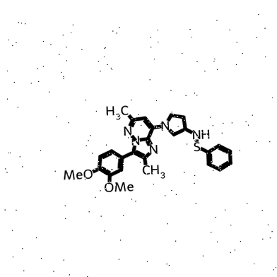 COc1ccc(-c2c(C)nc3c(N4CCC(NSc5ccccc5)C4)cc(C)nn23)cc1OC